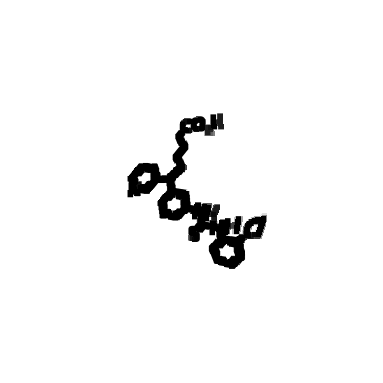 O=C(O)CCC/C=C(\c1cccnc1)c1cccc(NC(=S)Nc2ccccc2Cl)c1